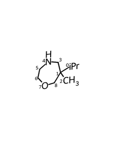 CC(C)C1(C)CNCCOC1